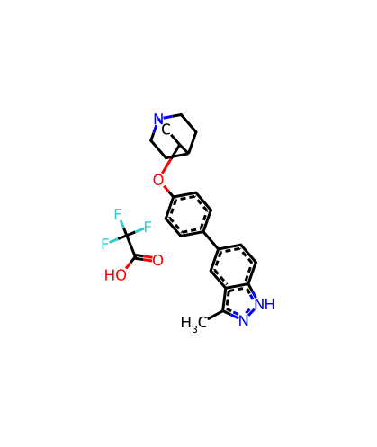 Cc1n[nH]c2ccc(-c3ccc(OC4CN5CCC4CC5)cc3)cc12.O=C(O)C(F)(F)F